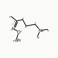 CCCO/N=C(/C)CCCN(C)C